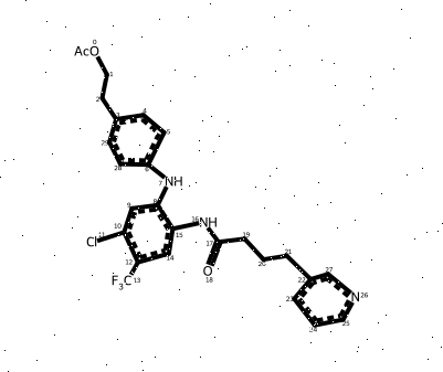 CC(=O)OCCc1ccc(Nc2cc(Cl)c(C(F)(F)F)cc2NC(=O)CCCc2cccnc2)cc1